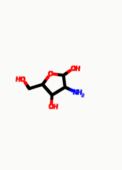 NC1C(O)OC(CO)C1O